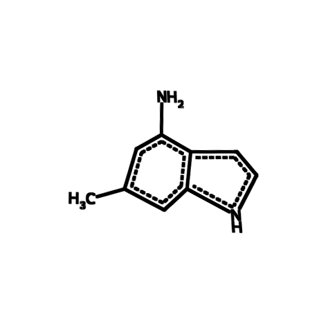 Cc1cc(N)c2cc[nH]c2c1